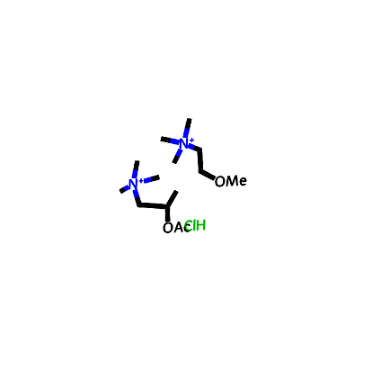 CC(=O)OC(C)C[N+](C)(C)C.COCC[N+](C)(C)C.Cl